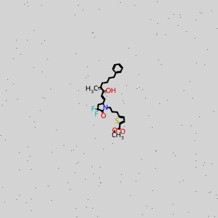 COC(=O)c1ccc(CCCN2C(=O)C(F)(F)CC2C=C[C@H](O)[C@@H](C)CCCCc2ccccc2)s1